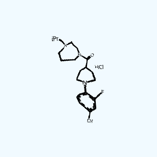 CC(C)N1CCCN(C(=O)C2CCN(c3ccc(C#N)cc3F)CC2)CC1.Cl